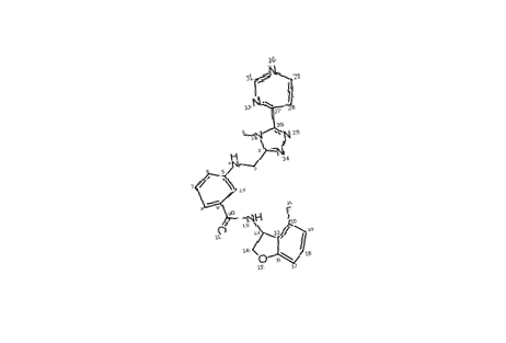 Cn1c(CNc2cccc(C(=O)NC3COc4cccc(F)c43)c2)nnc1-c1ccncn1